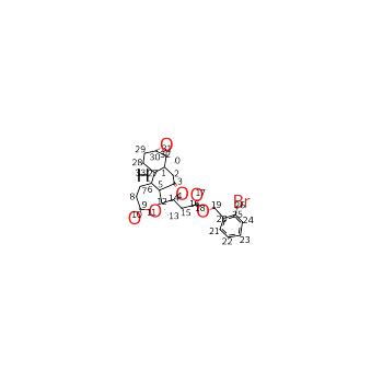 C[C@]12CC(=O)C3[C@@H](CCC(=O)O[C@]3(C)CCC(=O)OCc3ccccc3Br)C1CCC1OC12